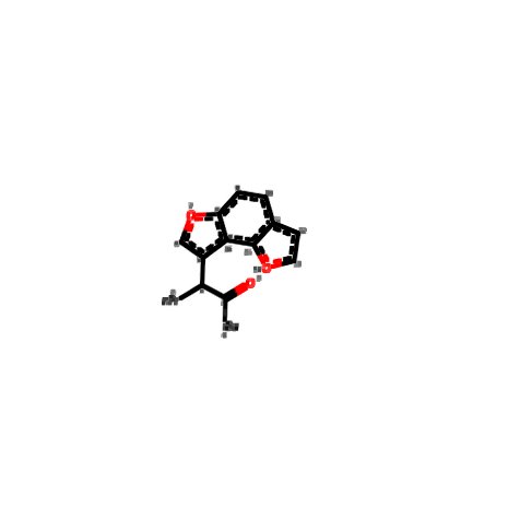 CCCC(C(=O)C(C)CC)c1coc2ccc3ccoc3c12